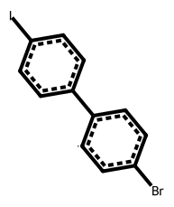 Brc1c[c]c(-c2ccc(I)cc2)cc1